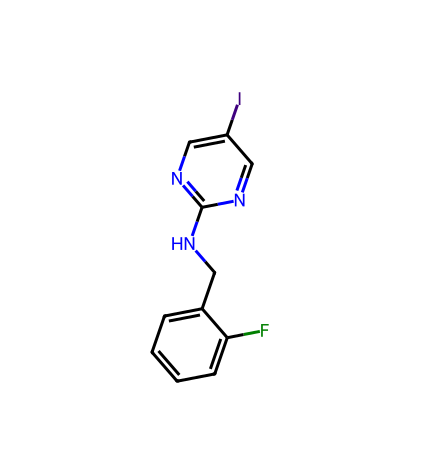 Fc1ccccc1CNc1ncc(I)cn1